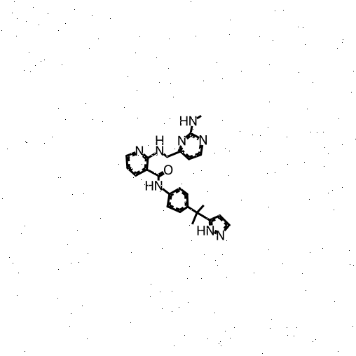 CNc1nccc(CNc2ncccc2C(=O)Nc2ccc(C(C)(C)c3ccn[nH]3)cc2)n1